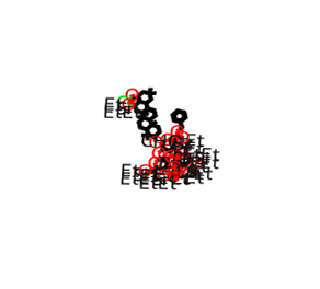 CC[Si](CC)(CC)OCC1O[C@@H](OC2C(O[C@@H]3OC[C@@H](O[Si](CC)(CC)CC)C(O[Si](CC)(CC)CC)C3O[Si](CC)(CC)CC)[C@H](O[Si](CC)(CC)CC)C(C(=O)OCc3ccccc3)O[C@H]2OC2CCC3(C)C(CCC4(C)C3CC=C3C5CC(C)(C)CC[C@]5(C(=O)Cl)[C@@H](O[Si](CC)(CC)CC)CC34C)C2(C)C=O)C(O[Si](CC)(CC)CC)C(O[Si](CC)(CC)CC)[C@H]1O[Si](CC)(CC)CC